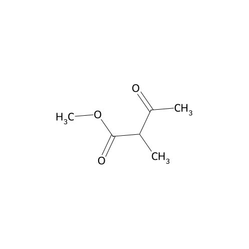 COC(=O)C(C)C(C)=O